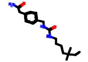 CCC(C)(C)CCCCNC(=O)NCc1ccc(CC(N)=O)cc1